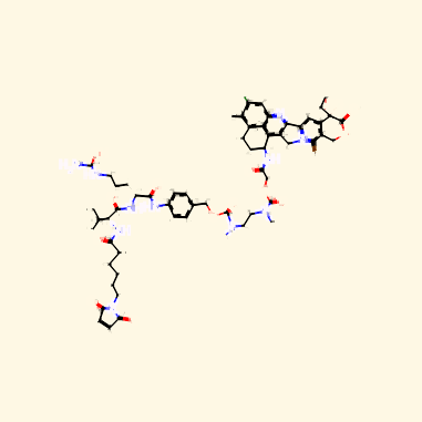 CC[C@@]1(O)C(=O)OCc2c1cc1n(c2=S)Cc2c-1nc1cc(F)c(C)c3c1c2C(NC(=O)COC(=O)N(C)CCN(C)C(=O)OCc1ccc(NC(=O)[C@H](CCCNC(N)O)NC(=O)[C@@H](NC(=O)CCCCCN2C(=O)C=CC2=O)C(C)C)cc1)CC3